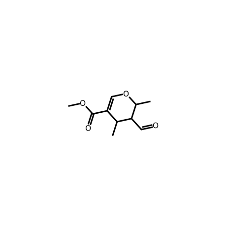 COC(=O)C1=COC(C)C(C=O)C1C